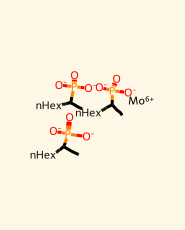 CCCCCCC(C)P(=O)([O-])[O-].CCCCCCC(C)P(=O)([O-])[O-].CCCCCCC(C)P(=O)([O-])[O-].[Mo+6]